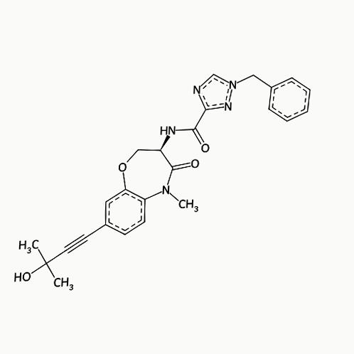 CN1C(=O)[C@H](NC(=O)c2ncn(Cc3ccccc3)n2)COc2cc(C#CC(C)(C)O)ccc21